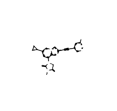 CN1C(=O)CN(c2cc(C3CC3)cn3cc(C#Cc4cnnc(O)c4)nc23)C1=O